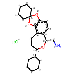 Cl.NC[C@@H]1O[C@H](C2CCCCC2)CCc2c1ccc1c2OC2(CCCCC2)O1